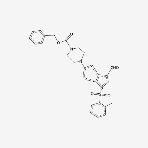 Cc1ccccc1S(=O)(=O)n1cc(C=O)c2cc(N3CCN(C(=O)OCc4ccccc4)CC3)ccc21